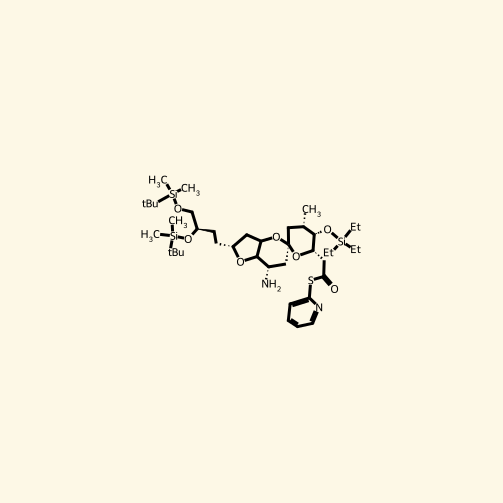 CC[Si](CC)(CC)O[C@@H]1[C@H](CC(=O)Sc2ccccn2)O[C@]2(C[C@H](N)C3O[C@H](CC[C@H](CO[Si](C)(C)C(C)(C)C)O[Si](C)(C)C(C)(C)C)CC3O2)C[C@@H]1C